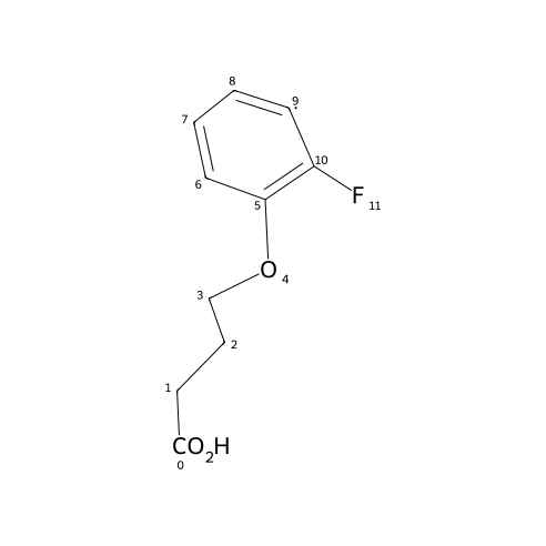 O=C(O)CCCOc1ccc[c]c1F